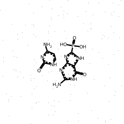 Nc1cc[nH]c(=O)n1.Nc1nc2nc(P(=O)(O)O)[nH]c2c(=O)[nH]1